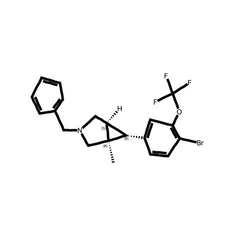 C[C@]12CN(Cc3ccccc3)C[C@H]1[C@@H]2c1ccc(Br)c(OC(F)(F)F)c1